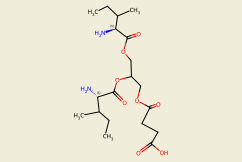 CCC(C)[C@H](N)C(=O)OCC(COC(=O)CCC(=O)O)OC(=O)[C@@H](N)C(C)CC